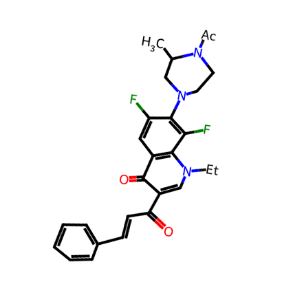 CCn1cc(C(=O)C=Cc2ccccc2)c(=O)c2cc(F)c(N3CCN(C(C)=O)C(C)C3)c(F)c21